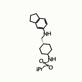 CC(C)S(=O)(=O)N[C@H]1CC[C@H](CNc2ccc3c(c2)CCC3)CC1